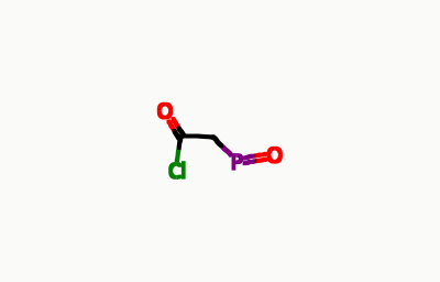 O=PCC(=O)Cl